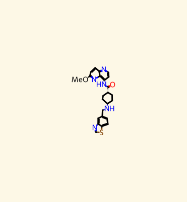 COc1ccc2nccc(NC(=O)[C@H]3CC[C@H](NCc4ccc5scnc5c4)CC3)c2n1